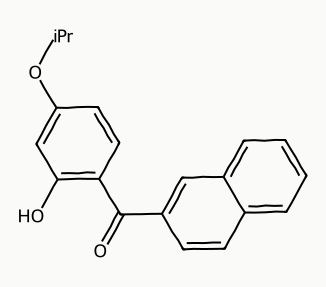 CC(C)Oc1ccc(C(=O)c2ccc3ccccc3c2)c(O)c1